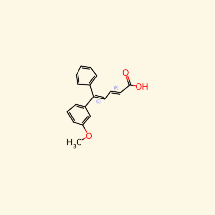 COc1cccc(/C(=C/C=C/C(=O)O)c2ccccc2)c1